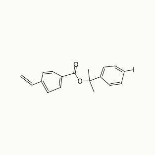 C=Cc1ccc(C(=O)OC(C)(C)c2ccc(I)cc2)cc1